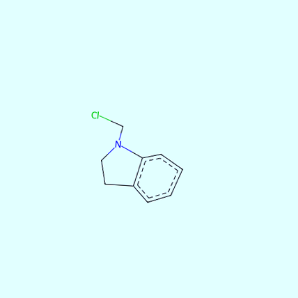 ClCN1CCc2ccccc21